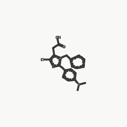 CN(C)c1ccc(-c2nc(Cl)c(CC(=O)O)n2Cc2ccccc2)cc1